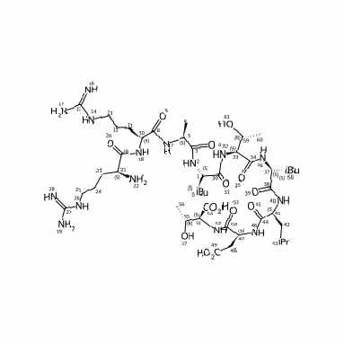 CC[C@H](C)[C@H](NC(=O)[C@H](C)NC(=O)[C@H](CCCNC(=N)N)NC(=O)[C@@H](N)CCCNC(=N)N)C(=O)N[C@H](C(=O)N[C@H](C(=O)N[C@@H](CC(C)C)C(=O)N[C@@H](CC(=O)O)C(=O)N[C@H](C(=O)O)[C@@H](C)O)[C@@H](C)CC)[C@@H](C)O